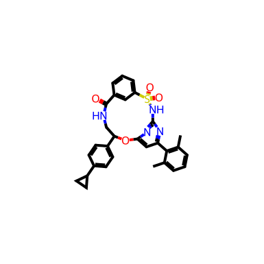 Cc1cccc(C)c1-c1cc2nc(n1)NS(=O)(=O)c1cccc(c1)C(=O)NCC(c1ccc(C3CC3)cc1)O2